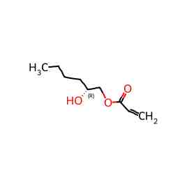 C=CC(=O)OC[C@H](O)CCCC